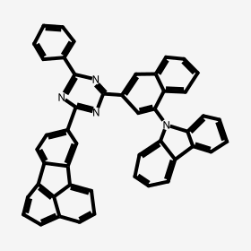 c1ccc(-c2nc(-c3ccc4c(c3)-c3cccc5cccc-4c35)nc(-c3cc(-n4c5ccccc5c5ccccc54)c4ccccc4c3)n2)cc1